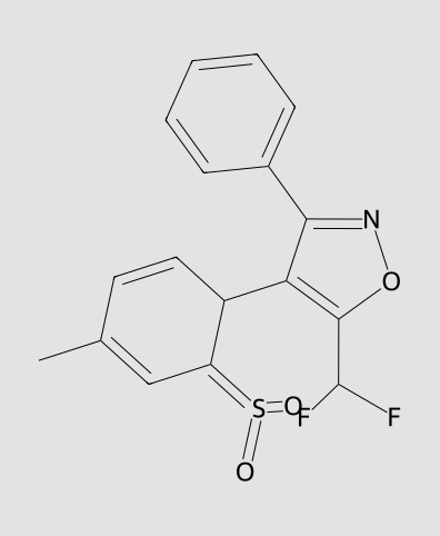 CC1=CC(=S(=O)=O)C(c2c(-c3ccccc3)noc2C(F)F)C=C1